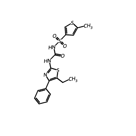 CCc1sc(NC(=O)NS(=O)(=O)c2csc(C)c2)nc1-c1ccccc1